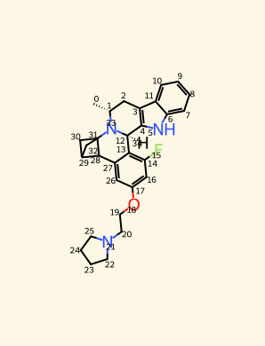 C[C@@H]1Cc2c([nH]c3ccccc23)[C@H]2c3c(F)cc(OCCN4CCCC4)cc3C3C4CC3(C4)N21